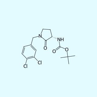 CC(C)(C)OC(=O)N[C@H]1CCN(Cc2ccc(Cl)c(Cl)c2)C1=O